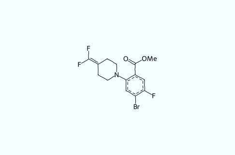 COC(=O)c1cc(F)c(Br)cc1N1CCC(=C(F)F)CC1